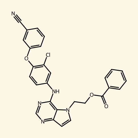 N#Cc1cccc(Oc2ccc(Nc3ncnc4ccn(CCOC(=O)c5ccccc5)c34)cc2Cl)c1